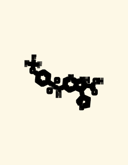 O=C(O)c1[nH]c2ncc(NS(=O)(=O)c3ccc(OC(F)(F)F)cc3)cc2c1-c1ccsc1